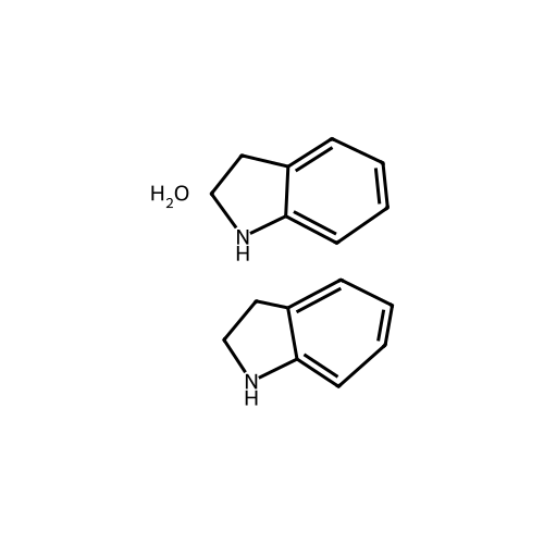 O.c1ccc2c(c1)CCN2.c1ccc2c(c1)CCN2